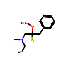 CC(C)CN(C)CC(S)(Cc1ccccc1)OC=O